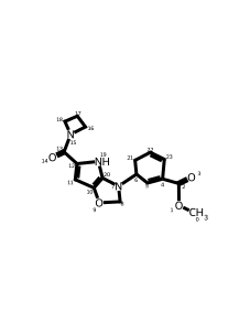 COC(=O)C1=CC(N2COc3cc(C(=O)N4CCC4)[nH]c32)CC=C1